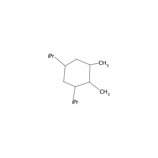 CC(C)C1CC(C)C(C)C(C(C)C)C1